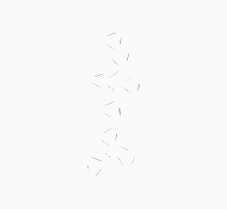 c1ccc(-n2c3ccccc3c3cc(-c4ccc(-c5c6ccccc6c(-c6ccc7ccccc7c6)c6ccccc56)cc4)ccc32)cc1